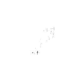 C=C1CCC2[C@]3(C)CO[C@@H](C4CCCC4)O[C@@H]3CC[C@@]2(C)[C@@H]1CCOc1ccnc(C(=O)O)c1